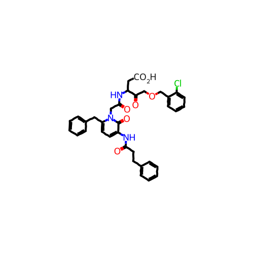 O=C(O)CC(NC(=O)Cn1c(Cc2ccccc2)ccc(NC(=O)CCc2ccccc2)c1=O)C(=O)COCc1ccccc1Cl